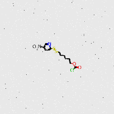 O=C(Cl)OCCCCCCSSc1ccc([N+](=O)[O-])cn1